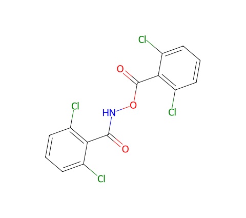 O=C(NOC(=O)c1c(Cl)cccc1Cl)c1c(Cl)cccc1Cl